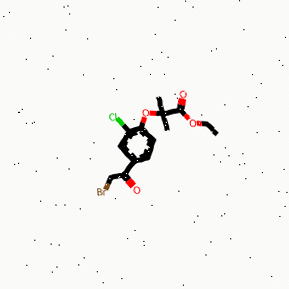 CCOC(=O)C(C)(C)Oc1ccc(C(=O)CBr)cc1Cl